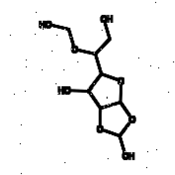 OCOC(CO)C1OC2OC(O)OC2C1O